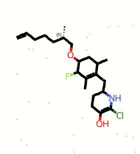 C=CCCC[C@H](C)COC1CC(C)C(CC2CCC(O)=C(Cl)N2)=C(C)C1F